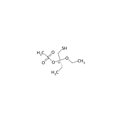 CCO[C@](CC)(CS)OS(C)(=O)=O